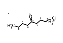 CCCCC(=O)CCCC.[C]